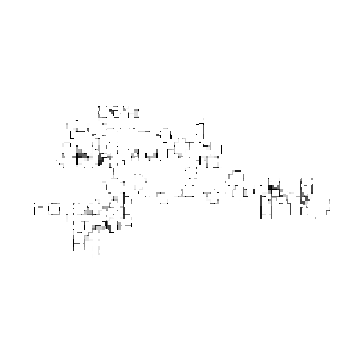 COc1ccc(C2=CN3C(=O)c4cc(OC)c(OCCCCCOc5cc6c(cc5OC)C(=O)N5CCC7(CC7)C[C@H]5[C@H](OC)N6C(=O)OCc5ccc(O[C@@H]6O[C@H](C(=O)O)[C@@H](O)[C@H](O)[C@H]6O)c(NC(=O)CCOCCOCCOCCOCCNC(=O)OCC6[C@H]7CCC#CCC[C@@H]67)c5)cc4NC[C@@H]3C2)cc1